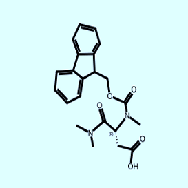 CN(C)C(=O)[C@@H](CC(=O)O)N(C)C(=O)OCC1c2ccccc2-c2ccccc21